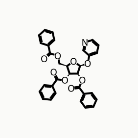 O=C(OC[C@H]1O[C@@H](Oc2cccnc2)[C@H](OC(=O)c2ccccc2)[C@@H]1OC(=O)c1ccccc1)c1ccccc1